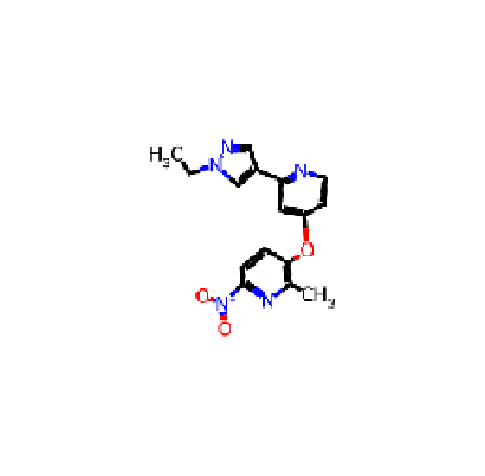 CCn1cc(-c2cc(Oc3ccc([N+](=O)[O-])nc3C)ccn2)cn1